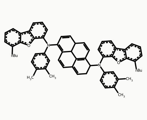 CCCCc1cccc2c1oc1c(N(C3=C4C=CC5=CCC(N(c6ccc(C)c(C)c6)c6cccc7c6oc6c(CCCC)cccc67)C6=C5C4C(C=C6)C=C3)c3ccc(C)c(C)c3)cccc12